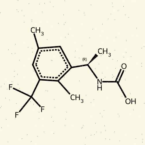 Cc1cc([C@@H](C)NC(=O)O)c(C)c(C(F)(F)F)c1